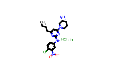 CCCCc1cc(N2CCC[C@@H](N)C2)nc(Nc2ccc(Cl)c([N+](=O)[O-])c2)n1.Cl.Cl